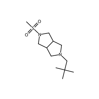 CC(C)(C)CN1CC2CN(S(C)(=O)=O)CC2C1